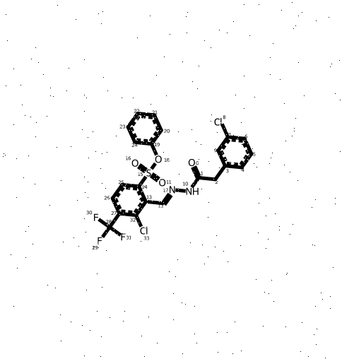 O=C(Cc1cccc(Cl)c1)N/N=C/c1c(S(=O)(=O)Oc2ccccc2)ccc(C(F)(F)F)c1Cl